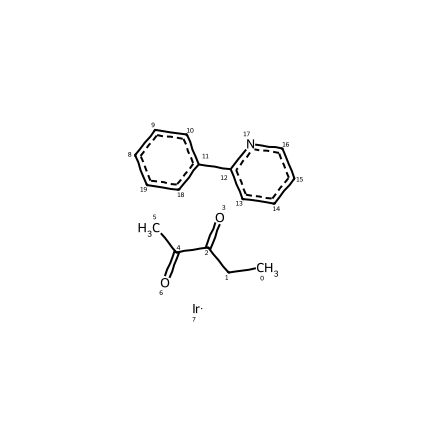 CCC(=O)C(C)=O.[Ir].c1ccc(-c2ccccn2)cc1